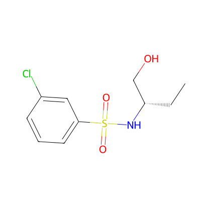 CC[C@@H](CO)NS(=O)(=O)c1cccc(Cl)c1